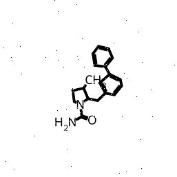 CC1CCN(C(N)=O)C1Cc1cccc(-c2ccccc2)c1